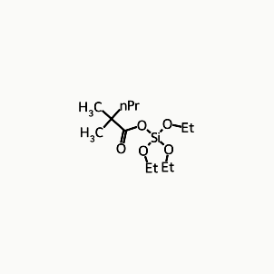 CCCC(C)(C)C(=O)O[Si](OCC)(OCC)OCC